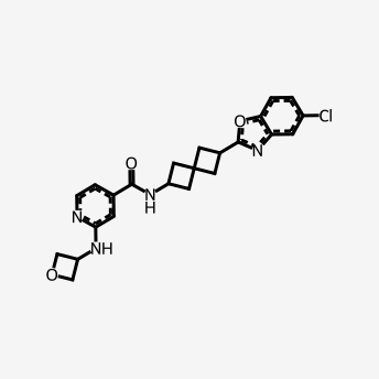 O=C(NC1CC2(C1)CC(c1nc3cc(Cl)ccc3o1)C2)c1ccnc(NC2COC2)c1